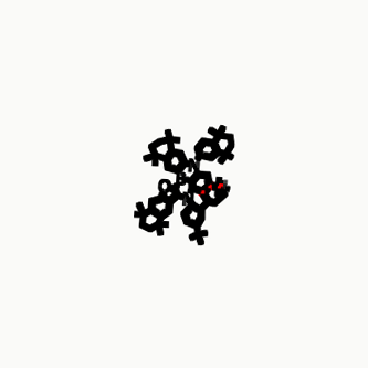 CC(C)(C)c1ccc(N2c3cc([Si](C)(C)C)cc4c3B(c3cc5c(cc3N4c3ccc4c(c3)C(C)(C)CCC4(C)C)C(C)(C)CCC5(C)C)c3oc4cc5c(cc4c32)C(C)(C)CCC5(C)C)c(-c2ccccc2)c1